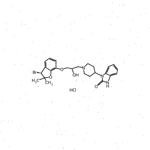 CC1(C)Oc2c(OCC(O)CN3CCC(n4c(=O)[nH]c5ccccc54)CC3)cccc2[C@@H]1Br.Cl